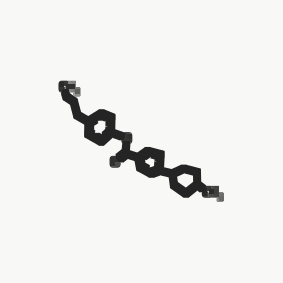 CCCCc1ccc(OC(=O)c2ccc(C3CCC(C)CC3)cc2)cc1